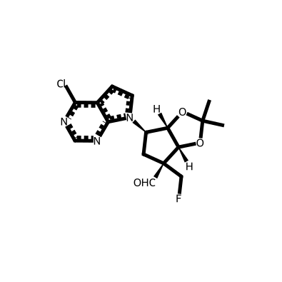 CC1(C)O[C@H]2[C@H](n3ccc4c(Cl)ncnc43)C[C@@](C=O)(CF)[C@H]2O1